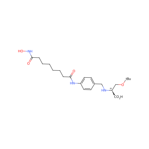 CC(C)(C)OC[C@H](NCc1ccc(NC(=O)CCCCCCC(=O)NO)cc1)C(=O)O